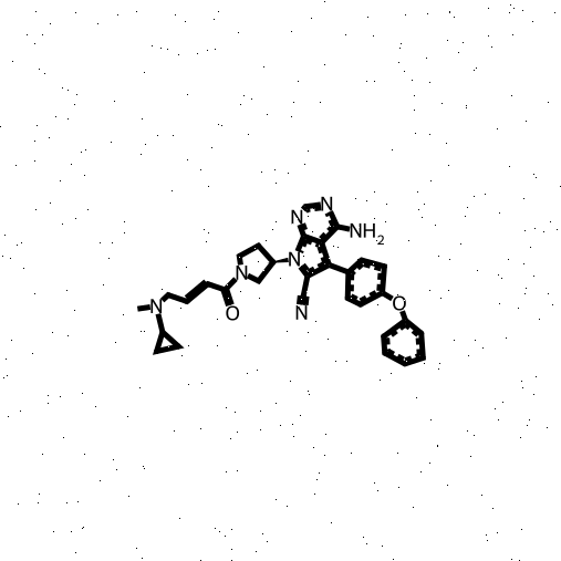 CN(C/C=C/C(=O)N1CC[C@@H](n2c(C#N)c(-c3ccc(Oc4ccccc4)cc3)c3c(N)ncnc32)C1)C1CC1